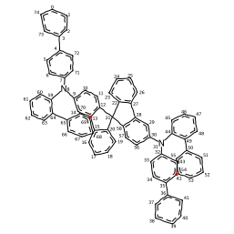 c1ccc(-c2ccc(N(c3ccc4c(c3)-c3ccccc3C43c4ccccc4-c4cc(N(c5ccc(-c6ccccc6)cc5)c5ccccc5-c5ccccc5)ccc43)c3ccccc3-c3ccccc3)cc2)cc1